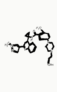 Cc1ccc(N2CCN(CCO)CC2)cc1C(=O)NC1(c2cc(-c3cnn(C)c3)nc3ccccc23)CC1